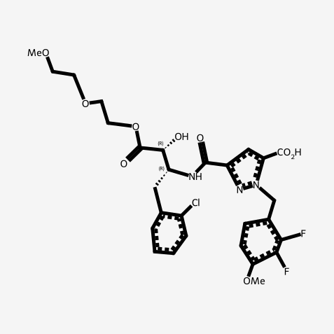 COCCOCCOC(=O)[C@H](O)[C@@H](Cc1ccccc1Cl)NC(=O)c1cc(C(=O)O)n(Cc2ccc(OC)c(F)c2F)n1